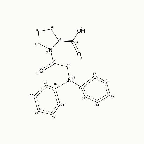 O=C(O)[C@@H]1CCCN1C(=O)CN(c1ccccc1)c1ccccc1